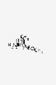 Cc1ccc(N2CCN(c3cc(N4CCN(C)CC4)c(C=NNC(N)=S)cc3F)CC2)cc1